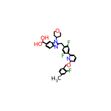 Cc1ccc(COc2cccc(-c3cc(F)c(Cc4nc5ccc(C(O)O)cc5n4C4CCOCC4)cc3F)n2)c(F)c1